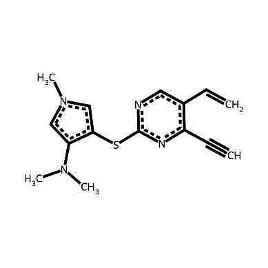 C#Cc1nc(Sc2cn(C)cc2N(C)C)ncc1C=C